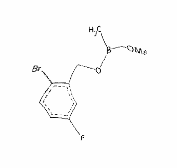 COB(C)OCc1cc(F)ccc1Br